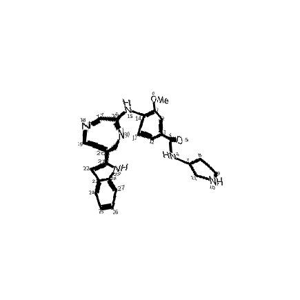 COc1cc(C(=O)NC2CCNC2)ccc1Nc1cncc(-c2cc3ccccc3[nH]2)n1